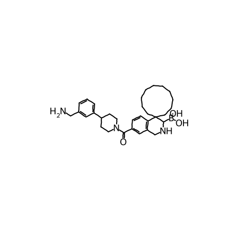 NCc1cccc(C2CCN(C(=O)c3ccc4c(c3)CNC(B(O)O)C43CCCCCCCCCC3)CC2)c1